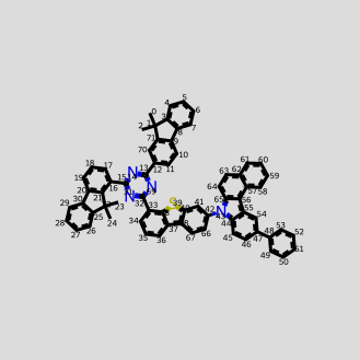 CC1(C)c2ccccc2-c2ccc(-c3nc(-c4cccc5c4C(C)(C)c4ccccc4-5)nc(-c4cccc5c4sc4cc(-n6c7ccc(-c8ccccc8)cc7c7c8ccccc8ccc76)ccc45)n3)cc21